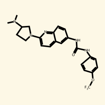 CN(C)C1CCN(c2ccc3cc(NC(=O)Nc4ccc(OC(F)(F)F)cc4)ccc3n2)C1